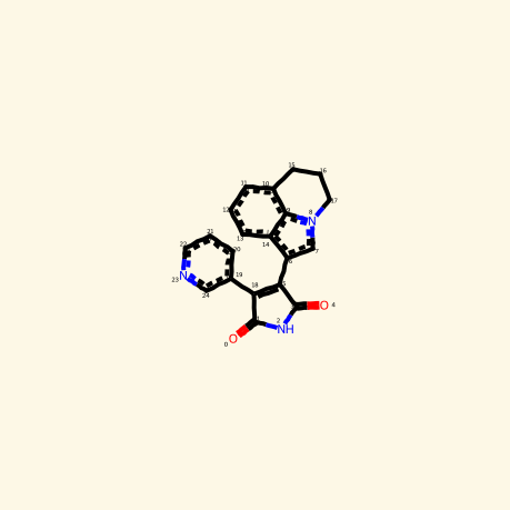 O=C1NC(=O)C(c2cn3c4c(cccc24)CCC3)=C1c1cccnc1